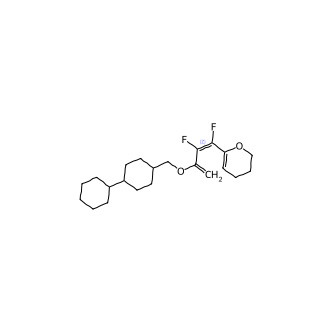 C=C(OCC1CCC(C2CCCCC2)CC1)/C(F)=C(/F)C1=CCCCO1